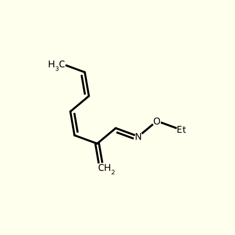 C=C(/C=C\C=C/C)/C=N/OCC